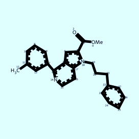 COC(=O)c1cc2c(-c3cccc(C)c3)nccc2n1CCCc1ccccc1